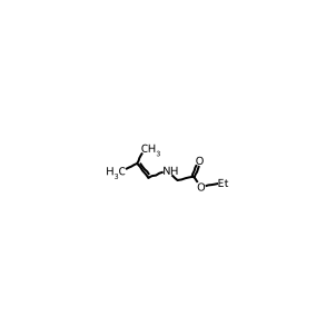 CCOC(=O)CNC=C(C)C